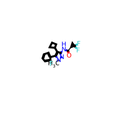 Cn1nc(NC(=O)[C@H]2CC2(F)F)c(C2CCC2)c1-c1ccccc1F